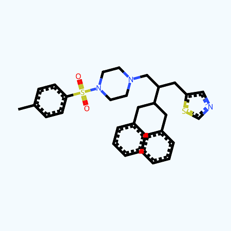 Cc1ccc(S(=O)(=O)N2CCN(CC(Cc3cncs3)[C](Cc3ccccc3)Cc3ccccc3)CC2)cc1